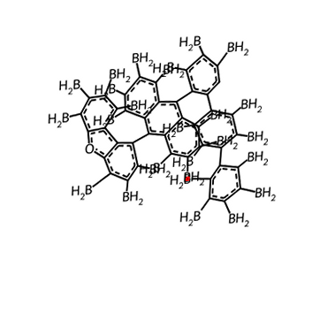 Bc1cc(-c2c(B)c(B)c(-c3c(B)c(B)c(B)c(B)c3B)c(B)c2B)c(-c2c3c(B)c(B)c(B)c(B)c3c(-c3c(B)c(B)c(B)c4oc5c(B)c(B)c(B)c(B)c5c34)c3c(B)c(B)c(B)c(B)c23)c(B)c1B